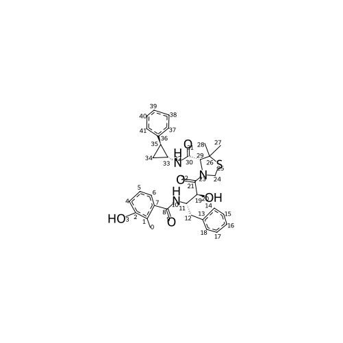 Cc1c(O)cccc1C(=O)N[C@@H](Cc1ccccc1)[C@H](O)C(=O)N1CSC(C)(C)[C@H]1C(=O)N[C@@H]1C[C@H]1c1ccccc1